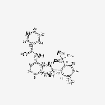 O=C(Nc1cccc2[nH]c(-c3cc(F)ccc3C(F)(F)F)nc12)c1cccnc1